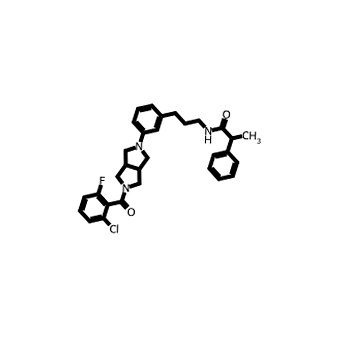 CC(C(=O)NCCCc1cccc(N2CC3CN(C(=O)c4c(F)cccc4Cl)CC3C2)c1)c1ccccc1